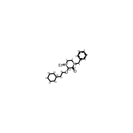 CCN1CCN(Cc2ccccc2)C(=O)C1OCCC1CCCCC1